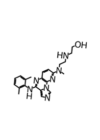 Cc1cccc(C)c1Nc1nc2ccc(N(C)CCNCCO)nc2n2cncc12